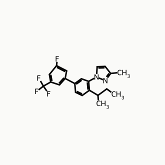 CCC(C)c1ccc(-c2cc(F)cc(C(F)(F)F)c2)cc1-n1ccc(C)n1